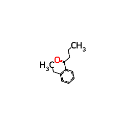 CCCC(=O)c1ccccc1CC